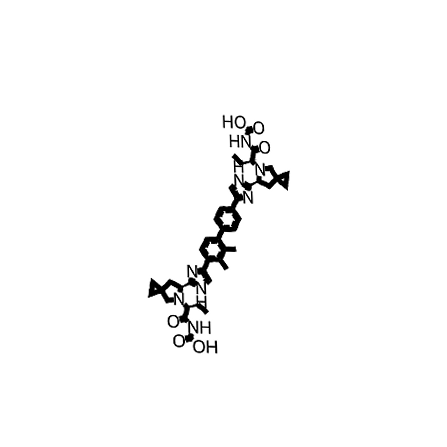 CC[C@@H](C(=O)NC(=O)O)N1CC2(CC2)C[C@H]1c1nc(-c2ccc(-c3ccc(-c4c[nH]c([C@@H]5CC6(CC6)CN5[C@@H](CC)C(=O)NC(=O)O)n4)c(C)c3C)cc2)c[nH]1